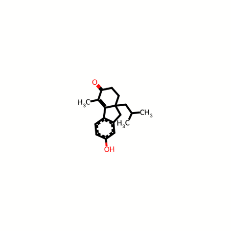 CC1=C2c3ccc(O)cc3CC2(CC(C)C)CCC1=O